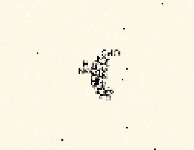 Cc1nc(C=O)ccc1-c1cnc(NCc2c(F)ccc3c2CCC3)n2cc(C#N)nc12